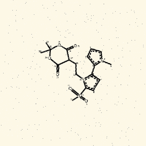 Cn1cccc1-c1ccc(S(C)(=O)=O)n1CCC1C(=O)OC(C)(C)OC1=O